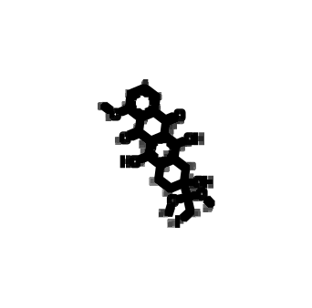 COc1cccc2c1C(=O)c1c(O)c3c(c(O)c1C2=O)CC(O)(C(CF)(OC)OC)CC3